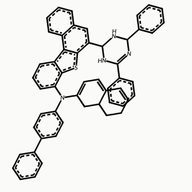 C1=CC2=CC=C(N(c3ccc(-c4ccccc4)cc3)c3cccc4c3sc3c(C5NC(c6ccccc6)=NC(c6ccccc6)N5)cc5ccccc5c34)CC2CC1